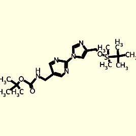 CC(C)(C)OC(=O)NCc1cnc(-n2cnc(CO[Si](C)(C)C(C)(C)C)c2)nc1